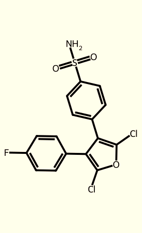 NS(=O)(=O)c1ccc(-c2c(Cl)oc(Cl)c2-c2ccc(F)cc2)cc1